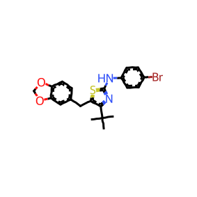 CC(C)(C)c1nc(Nc2ccc(Br)cc2)sc1Cc1ccc2c(c1)OCO2